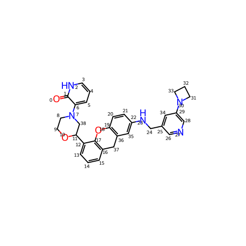 O=c1[nH]cccc1N1CCOC(c2cccc3c2Oc2ccc(NCc4cncc(N5CCC5)c4)cc2C3)C1